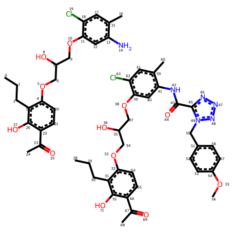 CCCc1c(OCC(O)COc2cc(N)c(C)cc2Cl)ccc(C(C)=O)c1O.CCCc1c(OCC(O)COc2cc(NC(=O)c3nnnn3Cc3ccc(OC)cc3)c(C)cc2Cl)ccc(C(C)=O)c1O